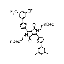 CCCCCCCCCCCCN1C(=O)C2=C(c3ccc(-c4cc(C(F)(F)F)cc(C(F)(F)F)c4)s3)N(CCCCCCCCCCCC)C(=O)C2=C1c1ccc(-c2cc(C)cc(C)c2)s1